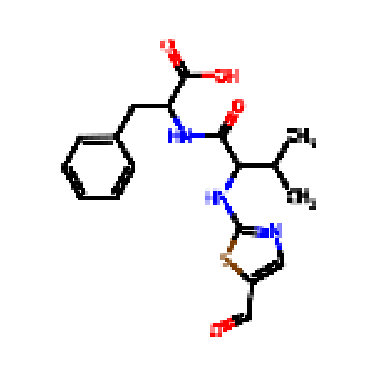 CC(C)C(Nc1ncc(C=O)s1)C(=O)NC(Cc1ccccc1)C(=O)O